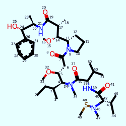 CCC(C)[C@@H]([C@@H](CC(=O)N1CCC[C@H]1[C@H](OC)[C@@H](C)C(=O)N[C@H](C)[C@@H](O)c1ccccc1)OC)N(C)C(=O)[C@@H](NC(=O)[C@H](C(C)C)N(C)SC)C(C)C